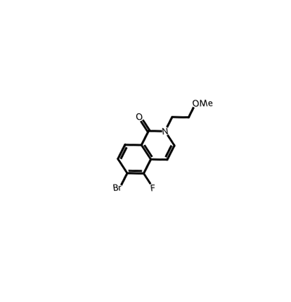 COCCn1ccc2c(F)c(Br)ccc2c1=O